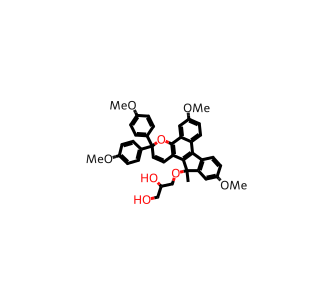 COc1ccc(C2(c3ccc(OC)cc3)C=Cc3c4c(c5ccc(OC)cc5c3O2)-c2ccc(OC)cc2C4(C)OCC(O)CO)cc1